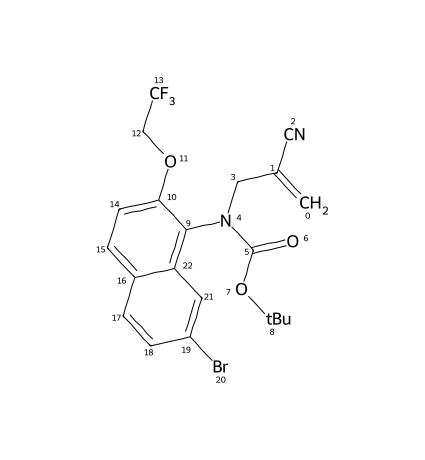 C=C(C#N)CN(C(=O)OC(C)(C)C)c1c(OCC(F)(F)F)ccc2ccc(Br)cc12